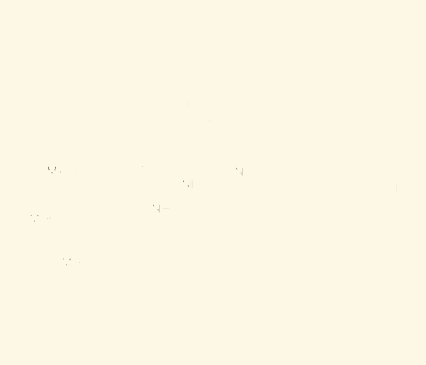 COc1cc(NC(=O)NC2COCC2N2CCC(Cc3ccc(Cl)cc3)CC2)cc(OC)c1OC.Cl